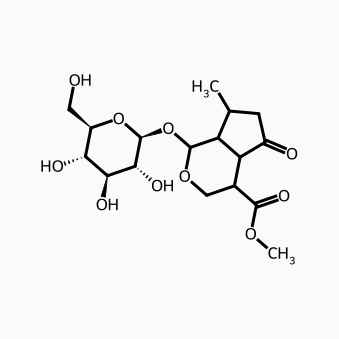 COC(=O)C1COC(O[C@@H]2O[C@H](CO)[C@@H](O)[C@H](O)[C@H]2O)C2C(C)CC(=O)C12